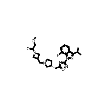 COCC(=O)N1CC(CN2CC[C@H](Cc3nc(-n4nc(C(C)C)c5cccc(F)c54)no3)C2)C1